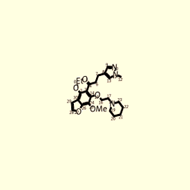 CCOc1c(C(=O)CCc2cnn(C)c2)c(OCCN2CCCCC2)c(OC)c2occc12